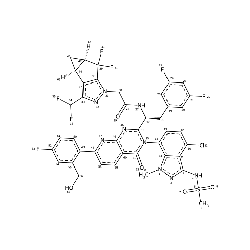 Cn1nc(NS(C)(=O)=O)c2c(Cl)ccc(-n3c([C@H](Cc4cc(F)cc(F)c4)NC(=O)Cn4nc(C(F)F)c5c4C(F)(F)[C@@H]4C[C@H]54)nc4nc(-c5ccc(F)cc5CO)ccc4c3=O)c21